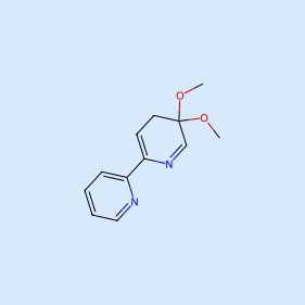 COC1(OC)C=NC(c2ccccn2)=CC1